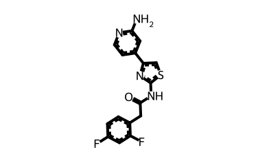 Nc1cc(-c2csc(NC(=O)Cc3ccc(F)cc3F)n2)ccn1